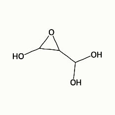 OC(O)C1OC1O